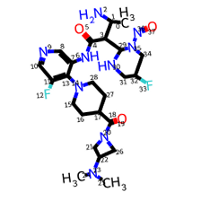 CC(N)C(C(=O)Nc1cncc(F)c1N1CCC(C(=O)N2CC(N(C)C)C2)CC1)C1NCC(F)CN1N=O